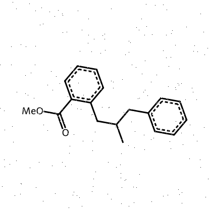 COC(=O)c1ccccc1CC(C)Cc1ccccc1